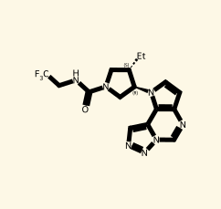 CC[C@H]1CN(C(=O)NCC(F)(F)F)C[C@@H]1n1ccc2ncn3nncc3c21